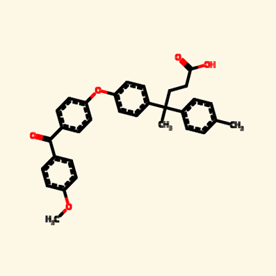 COc1ccc(C(=O)c2ccc(Oc3ccc(C(C)(CCC(=O)O)c4ccc(C)cc4)cc3)cc2)cc1